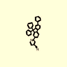 N#Cc1ccnc(-c2ccc3c(c2)C(c2ccccc2)(c2ccccc2)c2cc(-c4ccccc4)ccc2-3)c1